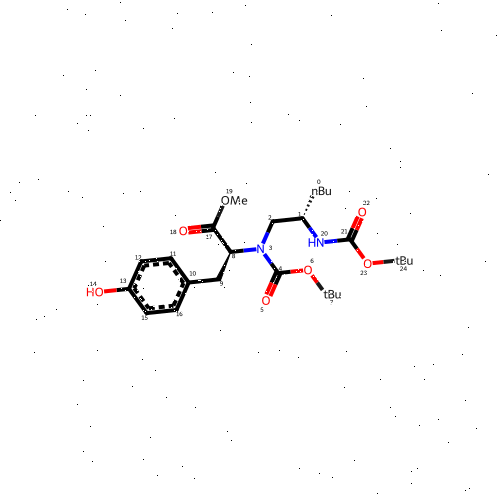 CCCC[C@@H](CN(C(=O)OC(C)(C)C)[C@@H](Cc1ccc(O)cc1)C(=O)OC)NC(=O)OC(C)(C)C